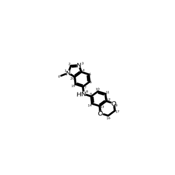 Cn1cnc2ccc(Nc3ccc4c(c3)OCCO4)cc21